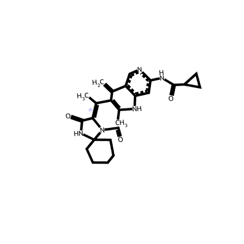 C=C1C(/C(C)=C2/C(=O)NC3(CCCCC3)N2C=O)=C(C)Nc2cc(NC(=O)C3CC3)ncc21